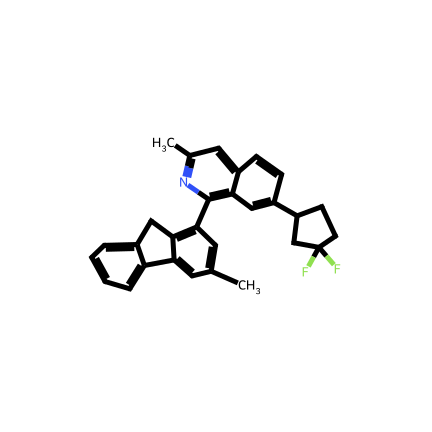 Cc1cc2c(c(-c3nc(C)cc4ccc(C5CCC(F)(F)C5)cc34)c1)Cc1ccccc1-2